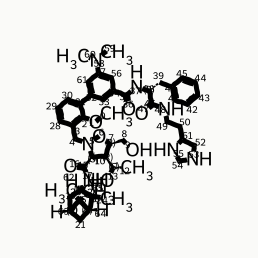 COc1c(CN2O[C@@H](CO)[C@@H]([C@H](C)O)[C@H]2C(=O)N[C@H]2C[C@H]3C[C@@H]([C@@H]2C)C3(C)C)cccc1-c1cc(C(=O)N[C@H](Cc2ccccc2)C(=O)NCCC2CNCN2)cc(N(C)C)c1